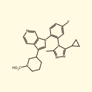 Cc1nnc(C2CC2)n1-c1cc(F)ccc1-n1cc(C2CCCN(C(=O)O)C2)c2ccncc21